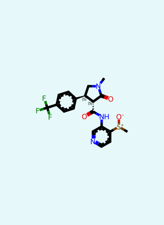 CN1C[C@H](c2ccc(C(F)(F)F)cc2)[C@@H](C(=O)Nc2cnccc2[S+](C)[O-])C1=O